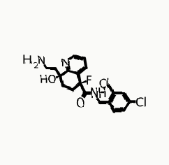 NCC[C@@]1(O)CC[C@@](F)(C(=O)NCc2ccc(Cl)cc2Cl)c2cccnc21